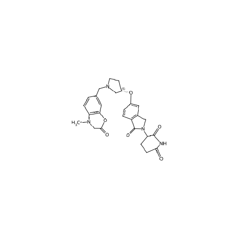 CN1CC(=O)Oc2cc(CN3CC[C@H](Oc4ccc5c(c4)CN(C4CCC(=O)NC4=O)C5=O)C3)ccc21